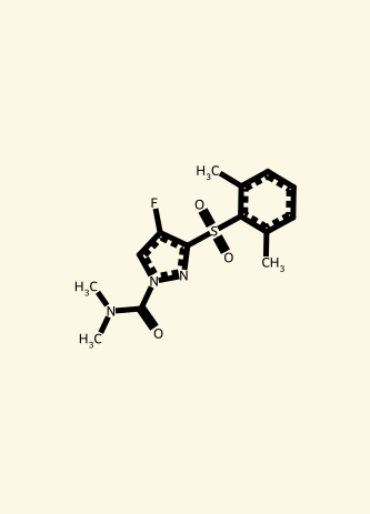 Cc1cccc(C)c1S(=O)(=O)c1nn(C(=O)N(C)C)cc1F